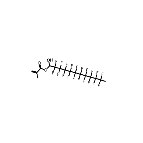 C=C(C)C(=O)OC(O)C(F)(F)C(F)(F)C(F)(F)C(F)(F)C(F)(F)C(F)(F)C(F)(F)C(F)(F)C(F)(F)C(C)(F)F